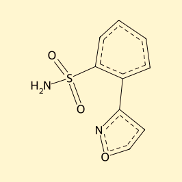 NS(=O)(=O)c1ccccc1-c1ccon1